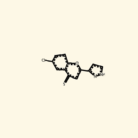 S=c1cc(-c2cc[nH]n2)oc2ccc(Cl)cc12